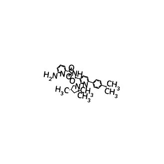 CC(C)c1ccc(-c2ccc(C(=O)NS(=O)(=O)c3cccc(N)n3)c(N3C[C@@H](C)CC3(C)C)n2)cc1